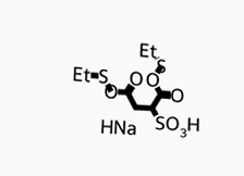 CCSOC(=O)CC(C(=O)OSCC)S(=O)(=O)O.[NaH]